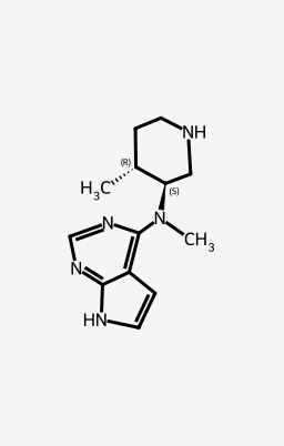 C[C@@H]1CCNC[C@H]1N(C)c1ncnc2[nH]ccc12